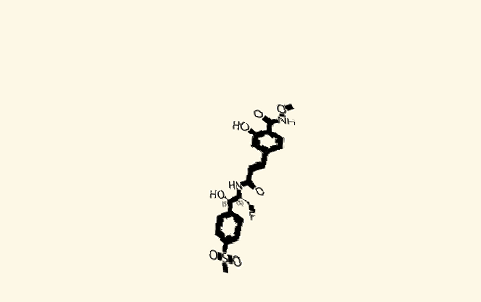 CONC(=O)c1ccc(C=CC(=O)N[C@H](CF)[C@@H](O)c2ccc(S(C)(=O)=O)cc2)cc1O